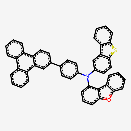 c1ccc2c(c1)oc1cccc(N(c3ccc(-c4ccc5c6ccccc6c6ccccc6c5c4)cc3)c3ccc4sc5ccccc5c4c3)c12